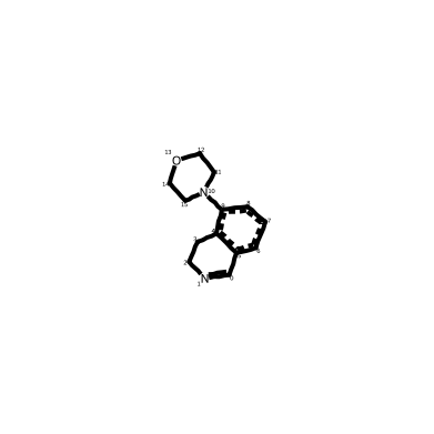 C1=NCCc2c1cccc2N1CCOCC1